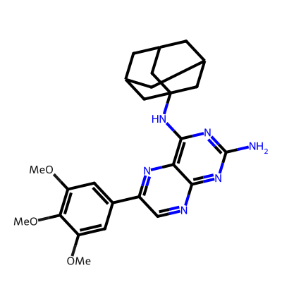 COc1cc(-c2cnc3nc(N)nc(NC45CC6CC(CC(C6)C4)C5)c3n2)cc(OC)c1OC